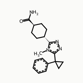 Cn1c(C2(c3ccccc3)CC2)nnc1[C@H]1CC[C@H](C(N)=O)CC1